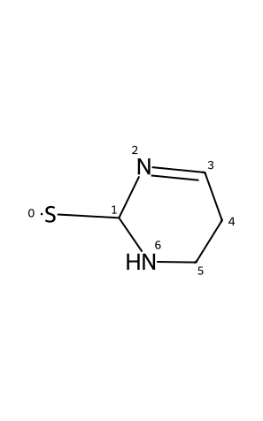 [S]C1N=CCCN1